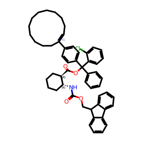 O=C(N[C@@H]1CCCC[C@H]1C(=O)OC(c1ccccc1)(c1ccc(/C2=C/CCCCCCCCCCC2)cc1)c1ccccc1Cl)OCC1c2ccccc2-c2ccccc21